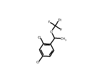 CCC(F)(F)OC(C)c1ccc(Cl)cc1Cl